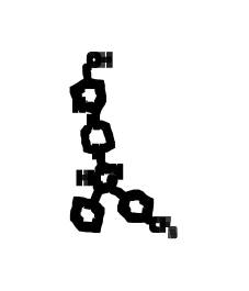 OCc1ccc(N2CCN(c3nc(-c4ccc(C(F)(F)F)cc4)c(-c4ccccc4)[nH]3)CC2)nc1